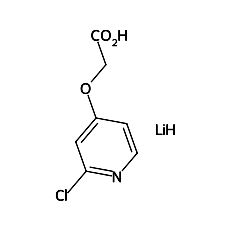 O=C(O)COc1ccnc(Cl)c1.[LiH]